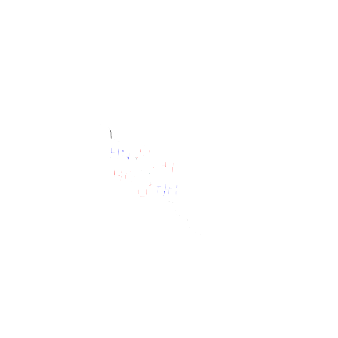 C/C=C/CNC(=O)C(O)C(O)C(=O)NCCCCCCC